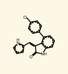 O=C1Nc2cccc(-c3ccc(Cl)cc3)c2/C1=C/c1ccc[nH]1